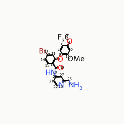 COc1cc(OC(F)(F)F)ccc1Oc1cc(Br)ccc1C(=O)Nc1ccnc(CN)c1